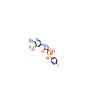 CCc1ncc(NC(=O)C(C)(O)CS(=O)(=O)c2ccc(F)cc2)cc1C(F)(F)F